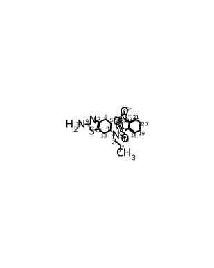 CCCN([C@H]1CCc2nc(N)sc2C1)S(=O)(=O)c1ccccc1[N+](=O)[O-]